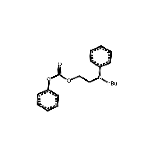 CCCCN(CCOC(=O)Oc1ccccc1)c1ccccc1